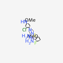 CONc1ccc(N2CCN(C(=S)/C(=C(/N)c3c(F)cccc3OC)N(C)N)CC2)c(Cl)c1